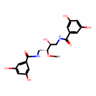 CC(C)O[C@H](CNC(=O)c1cc(O)cc(O)c1)[C@@H](O)CNC(=O)c1cc(O)cc(O)c1